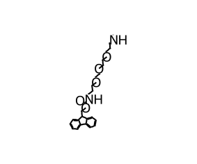 CNCCCOCCOCCOCCCNC(=O)OCC1c2ccccc2-c2ccccc21